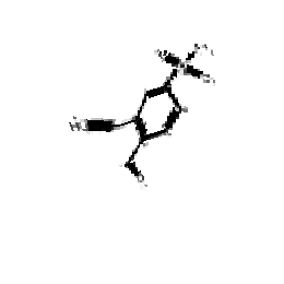 C#Cc1cc(S(N)(=O)=O)ccc1C=O